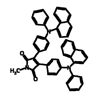 CN1C(=O)C(c2ccc(N(c3ccccc3)c3cccc4ccccc34)cc2)=C(c2ccc(N(c3ccccc3)c3cccc4ccccc34)cc2)C1=O